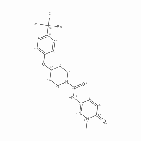 Cn1nc(NC(=O)N2CCC(Oc3ccc(C(F)(F)F)cc3)CC2)ccc1=O